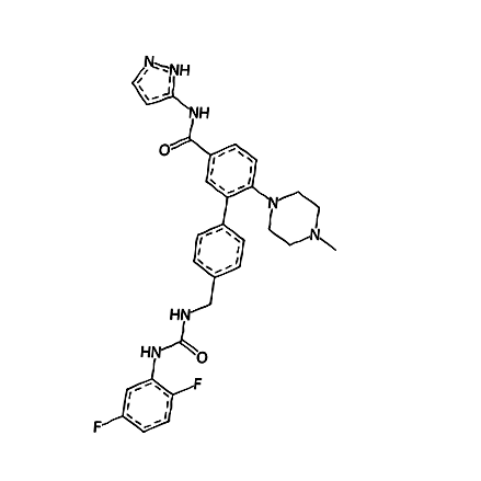 CN1CCN(c2ccc(C(=O)Nc3ccn[nH]3)cc2-c2ccc(CNC(=O)Nc3cc(F)ccc3F)cc2)CC1